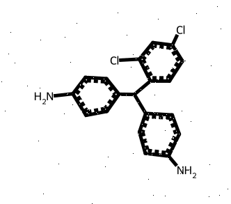 Nc1ccc(C(c2ccc(N)cc2)c2ccc(Cl)cc2Cl)cc1